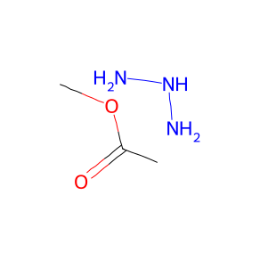 COC(C)=O.NNN